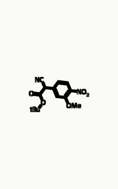 COc1cc(C(C#N)C(=O)OC(C)(C)C)ccc1[N+](=O)[O-]